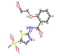 CS(=O)(=O)c1cnc(NC(=O)c2ccccc2OCC=O)s1